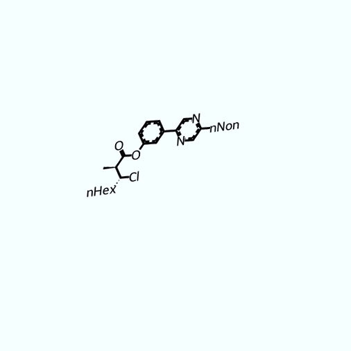 CCCCCCCCCc1cnc(-c2cccc(OC(=O)[C@H](C)[C@H](Cl)CCCCCC)c2)cn1